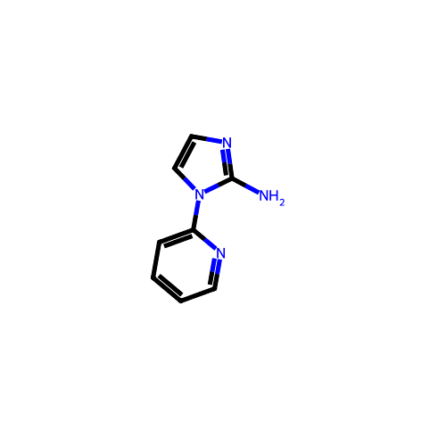 Nc1nccn1-c1ccccn1